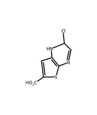 O=C(O)c1cc2c(s1)N=CC(Cl)N2